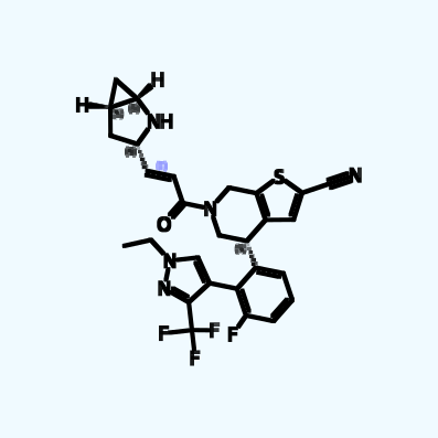 CCn1cc(-c2c(F)cccc2[C@@H]2CN(C(=O)/C=C/[C@@H]3C[C@@H]4C[C@@H]4N3)Cc3sc(C#N)cc32)c(C(F)(F)F)n1